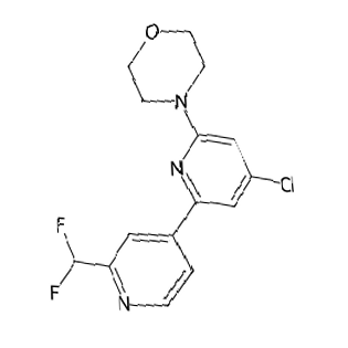 FC(F)c1cc(-c2cc(Cl)cc(N3CCOCC3)n2)ccn1